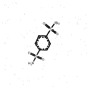 CC(C)(C)S(=O)(=O)c1ccc(S(N)(=O)=O)cc1